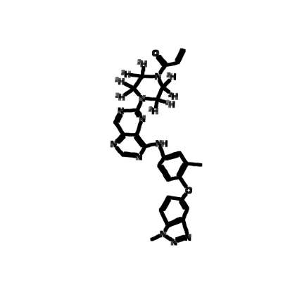 [2H]C1([2H])N(C(=O)C=C)C([2H])([2H])C([2H])([2H])N(c2ncc3ncnc(Nc4ccc(Oc5ccc6c(c5)nnn6C)c(C)c4)c3n2)C1([2H])[2H]